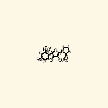 CC(=O)OC1=C(N2CCCC2=O)OC(C)(c2ccc(F)cc2F)C1=O